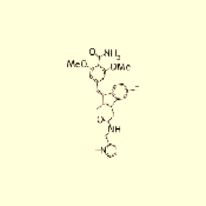 COc1cc(/C=C2/C(C)=C(CC(=O)NCc3cccn3C)c3cc(F)ccc32)cc(OC)c1C(N)=O